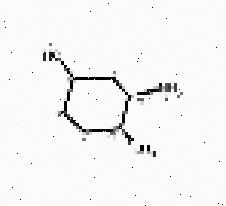 C[C@H]1CCC(O)C[C@H]1N